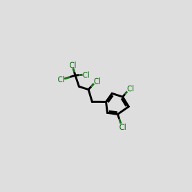 Clc1cc(Cl)cc(CC(Cl)CC(Cl)(Cl)Cl)c1